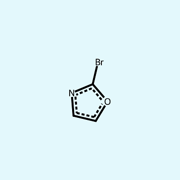 Brc1ncco1